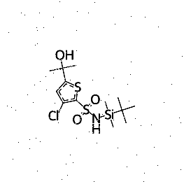 CC(C)(O)c1cc(Cl)c(S(=O)(=O)N[Si](C)(C)C(C)(C)C)s1